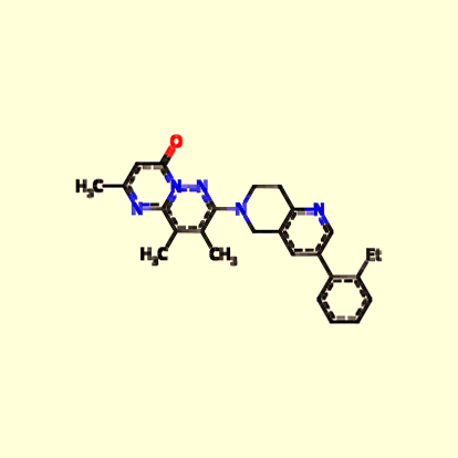 CCc1ccccc1-c1cnc2c(c1)CN(c1nn3c(=O)cc(C)nc3c(C)c1C)CC2